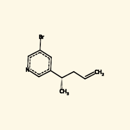 C=CC[C@H](C)c1cncc(Br)c1